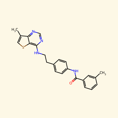 Cc1cccc(C(=O)Nc2ccc(CCNc3ncnc4c(C)csc34)cc2)c1